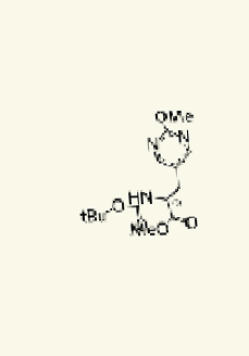 COC(=O)[C@H](Cc1cnc(OC)nc1)NC(=O)OC(C)(C)C